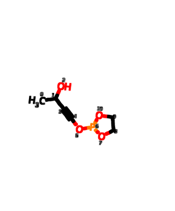 CC(O)C#COP1OCCO1